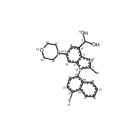 Cc1nc2c(C(O)O)cc(N3CCOCC3)cc2n1-c1ccc(F)c2ccccc12